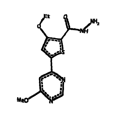 CCOc1cc(-c2cc(OC)ncn2)sc1C(=O)NN